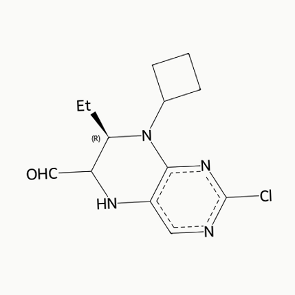 CC[C@@H]1C(C=O)Nc2cnc(Cl)nc2N1C1CCC1